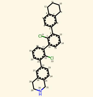 Clc1c(-c2ccc3c(c2)CCCC3)cccc1-c1cccc(-c2ccc3c(c2)CCNC3)c1Cl